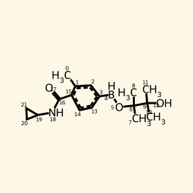 Cc1cc(BOC(C)(C)C(C)(C)O)ccc1C(=O)NC1CC1